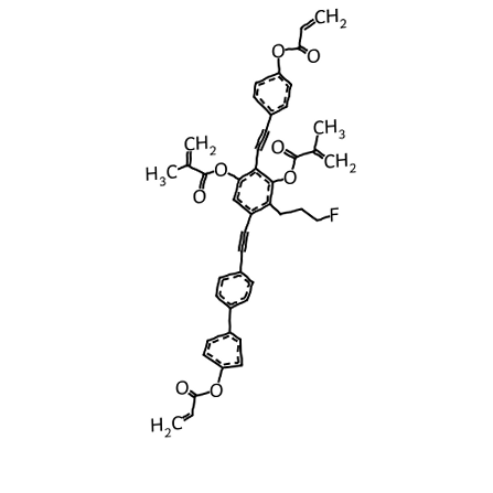 C=CC(=O)Oc1ccc(C#Cc2c(OC(=O)C(=C)C)cc(C#Cc3ccc(-c4ccc(OC(=O)C=C)cc4)cc3)c(CCCF)c2OC(=O)C(=C)C)cc1